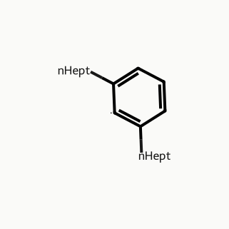 CCCCCCCc1[c]c(CCCCCCC)ccc1